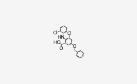 Cc1cc(OCc2ccccc2)cc(C(=O)O)c1Nc1c(Cl)cccc1Cl